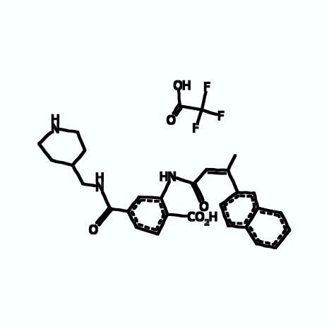 C/C(=C/C(=O)Nc1cc(C(=O)NCC2CCNCC2)ccc1C(=O)O)c1ccc2ccccc2c1.O=C(O)C(F)(F)F